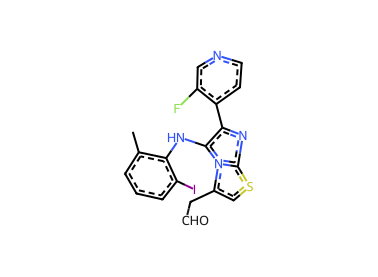 Cc1cccc(I)c1Nc1c(-c2ccncc2F)nc2scc(CC=O)n12